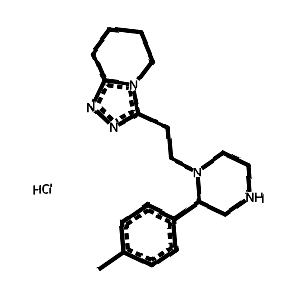 Cc1ccc(C2CNCCN2CCc2nnc3n2CCCC3)cc1.Cl